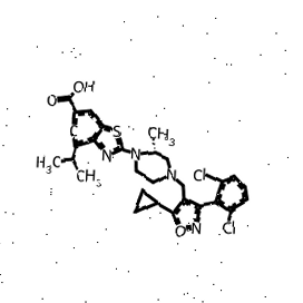 CC(C)c1cc(C(=O)O)cc2sc(N3CCN(Cc4c(-c5c(Cl)cccc5Cl)noc4C4CC4)C[C@H]3C)nc12